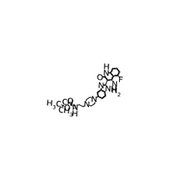 CC(C)(C)OC(=O)NCCN1CCN(c2ccc3[nH]c(-c4c(N)c5c(F)cccc5[nH]c4=O)nc3c2)CC1